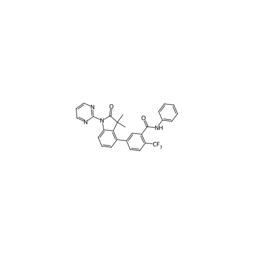 CC1(C)C(=O)N(c2ncccn2)c2cccc(-c3ccc(C(F)(F)F)c(C(=O)Nc4ccccc4)c3)c21